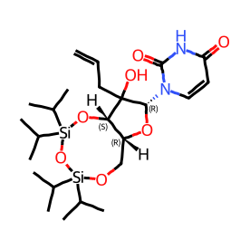 C=CCC1(O)[C@H]2O[Si](C(C)C)(C(C)C)O[Si](C(C)C)(C(C)C)OC[C@H]2O[C@H]1n1ccc(=O)[nH]c1=O